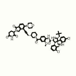 COc1cc(C(=O)N2CCC[C@@H](CC#Cc3c(N4CCOCC4)ccc4c3CN(C3CCC(=O)NC3=O)C4=O)C2)ccc1NC(=O)[C@@H]1N[C@@H](CC(C)(C)C)[C@@]2(CNc3cc(Cl)ccc32)[C@H]1c1cccc(Cl)c1F